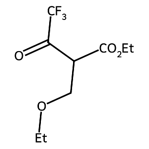 CCOCC(C(=O)OCC)C(=O)C(F)(F)F